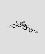 CN1CCN(c2ccc(Nc3nccc(Nc4cccc(CC#N)c4)n3)cc2F)CC1.Cl.Cl